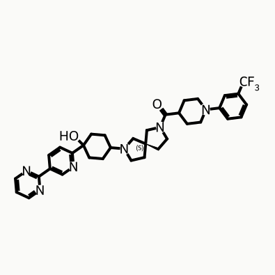 O=C(C1CCN(c2cccc(C(F)(F)F)c2)CC1)N1CC[C@]2(CCN(C3CCC(O)(c4ccc(-c5ncccn5)cn4)CC3)C2)C1